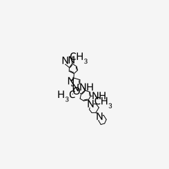 CNC1=CC(Nc2cc(-c3ccc4c(cnn4C)c3)ncn2)=C(OC)CC=C1N1CCC(N2CCCCC2)CC1